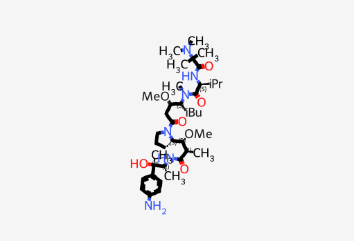 CCC(C)[C@@H](C(CC(=O)N1CCC[C@H]1[C@H](OC)[C@@H](C)C(=O)N[C@H](C)[C@](C)(O)c1ccc(N)cc1)OC)N(C)C(=O)[C@@H](NC(=O)C(C)(C)N(C)C)C(C)C